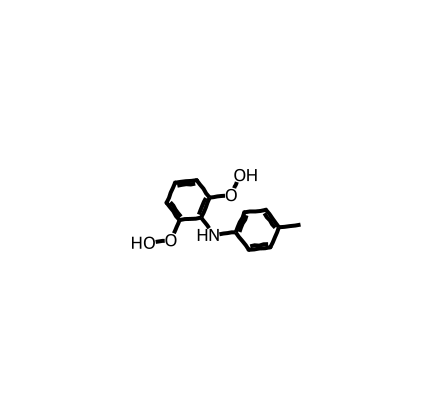 Cc1ccc(Nc2c(OO)cccc2OO)cc1